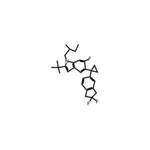 CCC(C)Cn1c(C(C)(C)C)cc2cc(C3(c4ccc5c(c4)CC(F)(F)C5)CC3)c(F)cc21